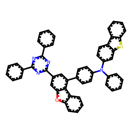 c1ccc(-c2nc(-c3ccccc3)nc(-c3cc(-c4ccc(N(c5ccccc5)c5ccc6c(c5)sc5ccccc56)cc4)c4c(c3)oc3ccccc34)n2)cc1